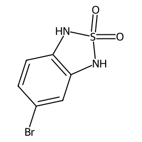 O=S1(=O)Nc2ccc(Br)cc2N1